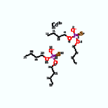 CCCCOP([O-])(=S)OCCCC.CCCCOP([O-])(=S)OCCCC.[Cd+2]